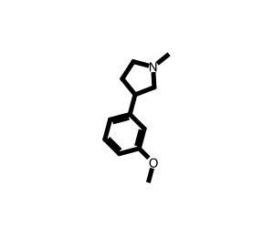 COc1cccc(C2CCN(C)C2)c1